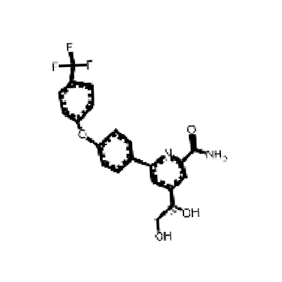 NC(=O)c1cc([C@@H](O)CO)cc(-c2ccc(Oc3ccc(C(F)(F)F)cc3)cc2)n1